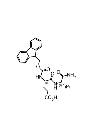 CC(C)[C@H](NC(=O)[C@H](CCC(=O)O)NC(=O)OCC1c2ccccc2-c2ccccc21)C(N)=O